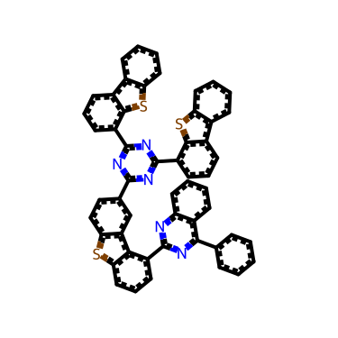 c1ccc(-c2nc(-c3cccc4sc5ccc(-c6nc(-c7cccc8c7sc7ccccc78)nc(-c7cccc8c7sc7ccccc78)n6)cc5c34)nc3ccccc23)cc1